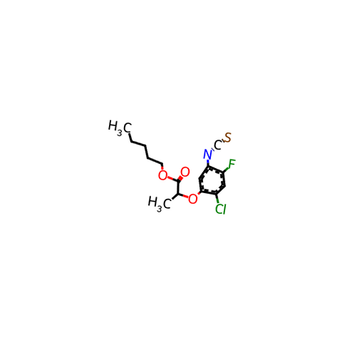 CCCCCOC(=O)C(C)Oc1cc(N=C=S)c(F)cc1Cl